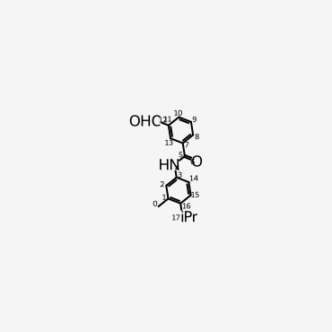 Cc1cc(NC(=O)c2cccc(C=O)c2)ccc1C(C)C